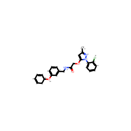 O=C(COc1cc(C(F)(F)F)nn1-c1ccccc1Cl)NCc1cccc(OC2C=CC=CC2)c1